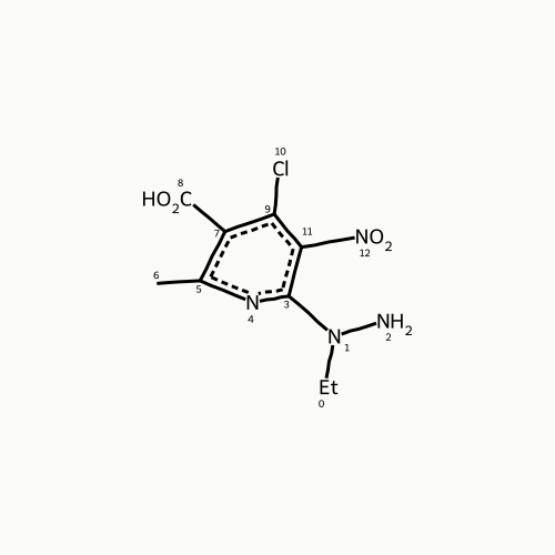 CCN(N)c1nc(C)c(C(=O)O)c(Cl)c1[N+](=O)[O-]